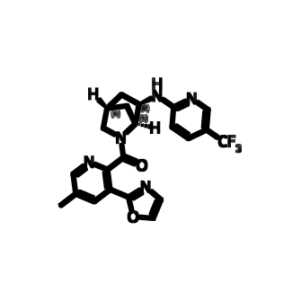 Cc1cnc(C(=O)N2C[C@@H]3C[C@@H](Nc4ccc(C(F)(F)F)cn4)[C@@H]2C3)c(-c2ncco2)c1